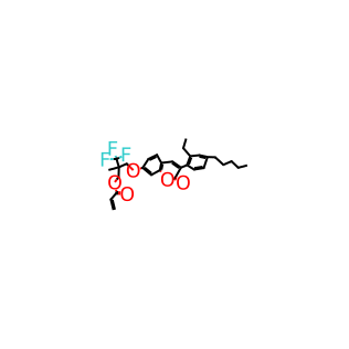 C=CC(=O)OCC(C)(COc1ccc2cc(-c3ccc(CCCCC)cc3CC)c(=O)oc2c1)C(F)(F)F